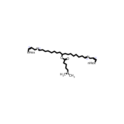 CCCCCC/C=C\C/N=C/CCCCCCCC(CCCCCCC/C=N/C/C=C\CCCCCC)OC(=O)CCCCN(C)C